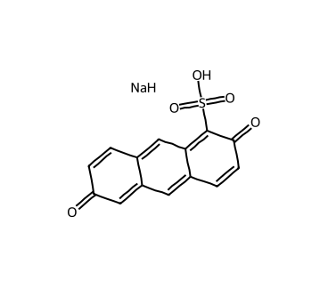 O=C1C=Cc2cc3c(cc2=C1)C=CC(=O)C=3S(=O)(=O)O.[NaH]